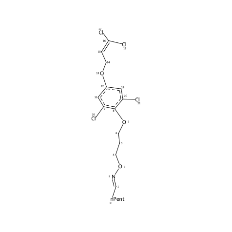 CCCCCC=NOCCCOc1c(Cl)cc(OCC=C(Cl)Cl)cc1Cl